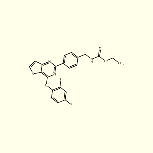 CCOC(=O)NCc1ccc(-c2nc(Oc3ccc(F)cc3F)c3sccc3n2)cc1